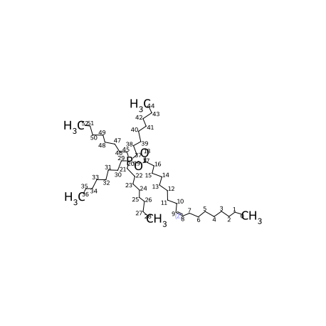 CCCCCCCC/C=C\CCCCCCCC(=O)OP(CCCCCCCC)(CCCCCCCC)(CCCCCCCC)CCCCCCCC